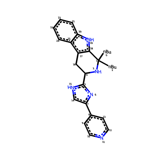 CCCCC1(CCCC)NC(c2nc(-c3ccncc3)c[nH]2)Cc2c1[nH]c1ccccc21